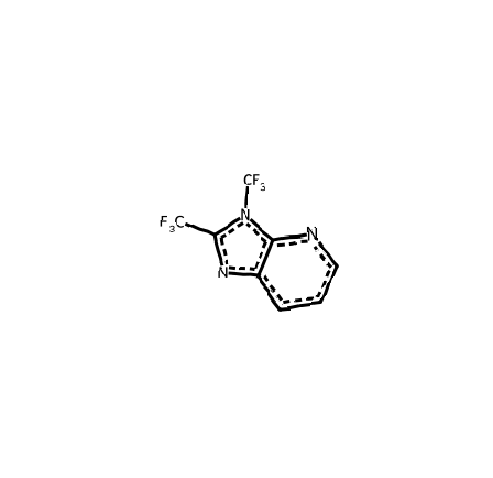 FC(F)(F)c1nc2cccnc2n1C(F)(F)F